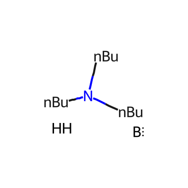 CCCCN(CCCC)CCCC.[B].[HH]